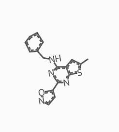 Cc1cc2c(NCc3ccccc3)nc(-c3ccno3)nc2s1